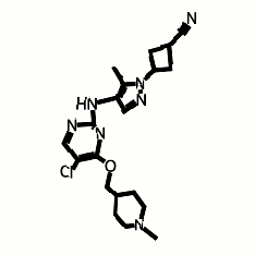 Cc1c(Nc2ncc(Cl)c(OCC3CCN(C)CC3)n2)cnn1C1CC(C#N)C1